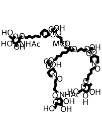 COCC(CCCCCOP(=O)(O)OC1CCN(C(=O)CCCCOC2OC(CO)C(O)C(O)C2NC(C)=O)CC1)(COCCCOP(=O)(O)OC1CCN(CCCCCOC2OC(CO)C(O)C(O)C2NC(C)=O)CC1)COCCCOP(=O)(O)OC1CCN(C(=O)CCCCOC2OC(CO)C(O)C(O)C2C)CC1